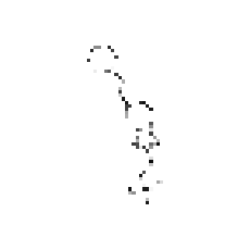 CC(F)(F)CCc1nc2c(s1)CCN(CCC1CCCCC1)C2